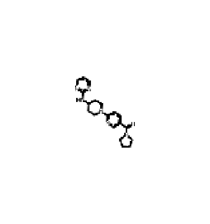 O=C(c1ccc(N2CCC(Nc3ncccn3)CC2)nc1)N1CCCC1